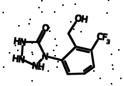 O=C1NNNN1c1cccc(C(F)(F)F)c1CO